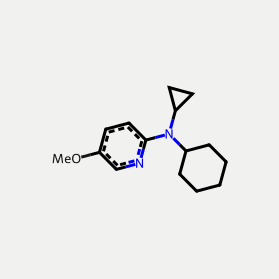 COc1ccc(N(C2CCCCC2)C2CC2)nc1